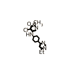 CCc1cc(C2CCC(Nc3cnn(C)c(=O)c3Cl)CC2)ncn1